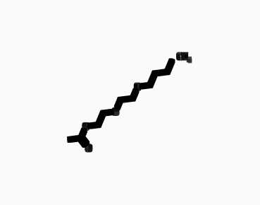 C.CCCCOCCOCCOC(C)=O